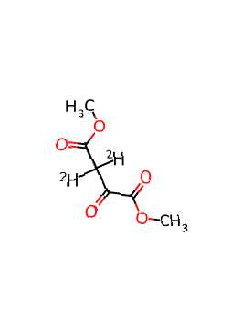 [2H]C([2H])(C(=O)OC)C(=O)C(=O)OC